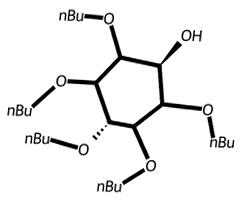 CCCCOC1C(OCCCC)[C@H](OCCCC)C(OCCCC)C(OCCCC)[C@H]1O